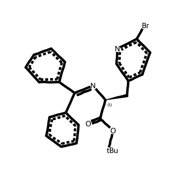 CC(C)(C)OC(=O)[C@H](Cc1ccc(Br)nc1)N=C(c1ccccc1)c1ccccc1